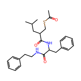 CC(=O)SCC(CC(C)C)C(=O)NC(Cc1ccccc1)C(=O)NCCc1ccccc1